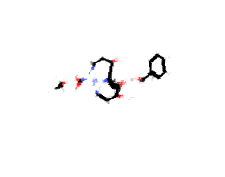 CC(C)(C)OC(=O)N1CCC(O)c2c(OCc3ccccc3)c(=O)ccn21